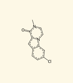 Cn1ccn2c(cc3ccc(Cl)cc32)c1=O